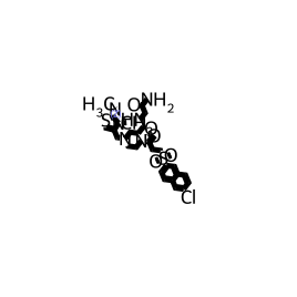 C/N=c1\scc(CN2CCN(C(=O)CCS(=O)(=O)c3ccc4cc(Cl)ccc4c3)C(C(=O)NCC(N)=O)C2)n1C